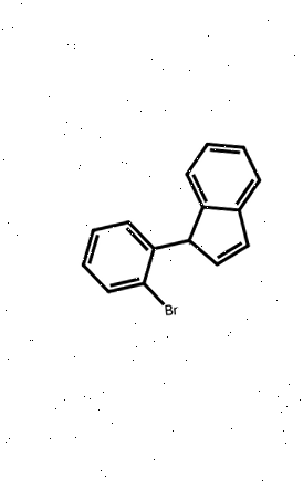 Brc1ccccc1[C]1C=Cc2ccccc21